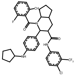 Cc1cccc(F)c1C(=O)N1C2CCCC2CC(C(=O)Nc2ccc(Cl)c(C(F)(F)F)c2)C1c1ccc(NC2CCCC2)cc1